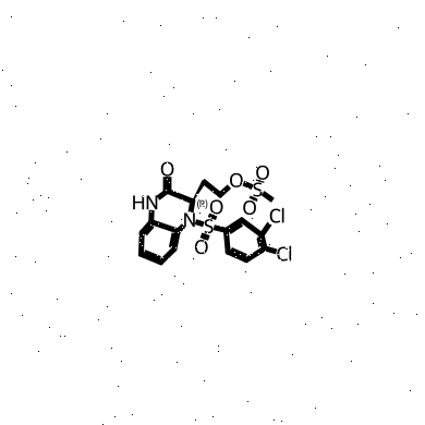 CS(=O)(=O)OCC[C@@H]1C(=O)Nc2ccccc2N1S(=O)(=O)c1ccc(Cl)c(Cl)c1